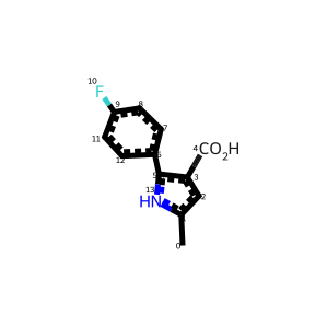 Cc1cc(C(=O)O)c(-c2ccc(F)cc2)[nH]1